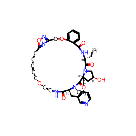 CC(C)C[C@H]1NC(=O)c2ccccc2OCc2noc(n2)CCCCCOCCNC(=O)[C@H](Cc2cccnc2)N(C)C(=O)[C@H]2C[C@H](O)CN2C1=O